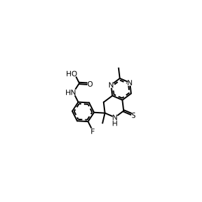 Cc1ncc2c(n1)CC(C)(c1cc(NC(=O)O)ccc1F)NC2=S